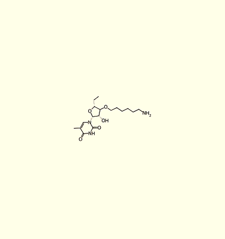 CC[C@H]1O[C@@H](n2cc(C)c(=O)[nH]c2=O)[C@@H](O)C1OCCCCCCN